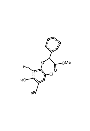 CCCc1cc(Cl)c(OC(C(=O)OC)c2ccccc2)c(C(C)=O)c1O